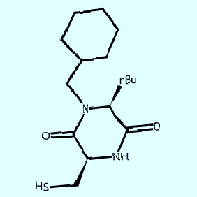 CCCC[C@H]1C(=O)N[C@@H](CS)C(=O)N1CC1CCCCC1